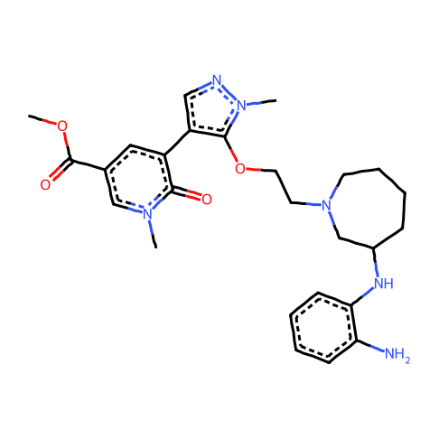 COC(=O)c1cc(-c2cnn(C)c2OCCN2CCCCC(Nc3ccccc3N)C2)c(=O)n(C)c1